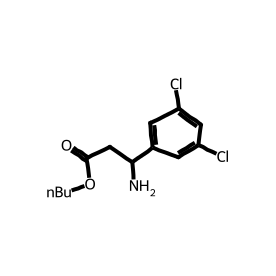 CCCCOC(=O)CC(N)c1cc(Cl)cc(Cl)c1